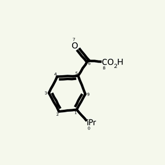 CC(C)c1cccc(C(=O)C(=O)O)c1